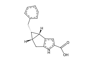 O=C(O)c1cc2c([nH]1)C[C@@H]1[C@H](Cc3ccccc3)[C@H]21